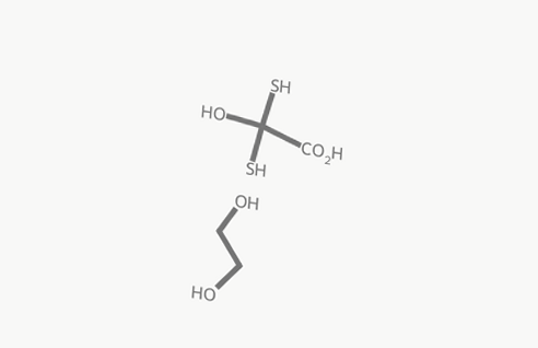 O=C(O)C(O)(S)S.OCCO